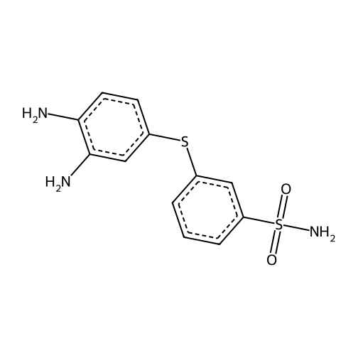 Nc1ccc(Sc2cccc(S(N)(=O)=O)c2)cc1N